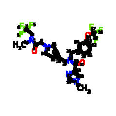 CN(CC(F)(F)F)C(=O)CN1CC2C(C1)C2CN(Cc1cccc(OC(F)(F)F)c1)C(=O)c1cn(C)cn1